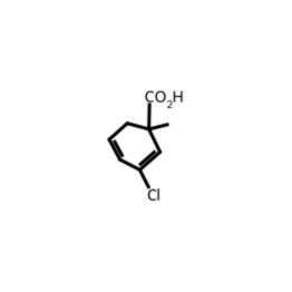 CC1(C(=O)O)C=C(Cl)C=CC1